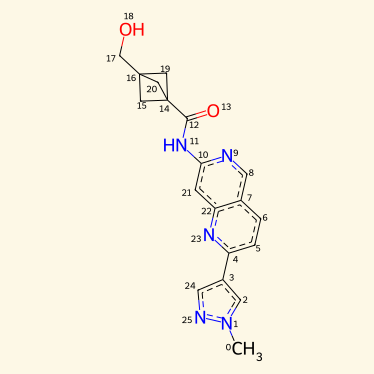 Cn1cc(-c2ccc3cnc(NC(=O)C45CC(CO)(C4)C5)cc3n2)cn1